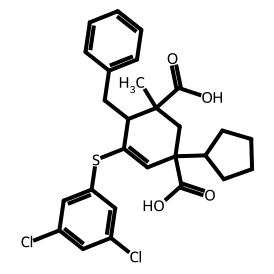 CC1(C(=O)O)CC(C(=O)O)(C2CCCC2)C=C(Sc2cc(Cl)cc(Cl)c2)C1Cc1ccccc1